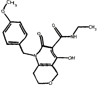 CCNC(=O)c1c(O)c2c(n(Cc3ccc(OC)cc3)c1=O)CCOC2